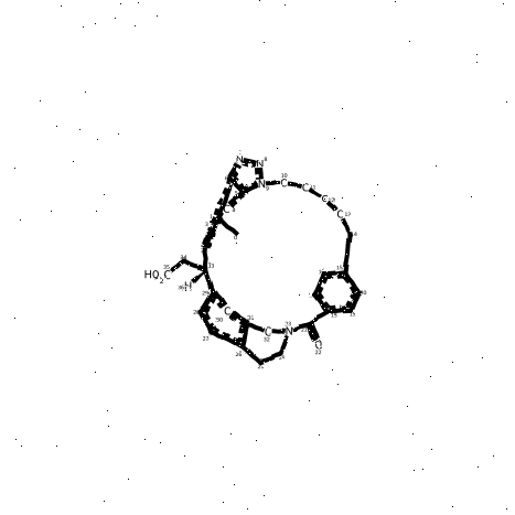 Cc1c2ccc3c1nnn3CCCCCc1ccc(cc1)C(=O)N1CCc3ccc(cc3C1)[C@@H]2CC(=O)O